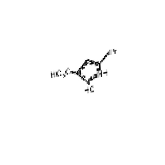 CC(C)c1cc(C(=O)O)n[nH]1.Cl